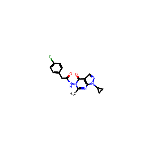 Cc1nc2c(cnn2C2CC2)c(=O)n1NC(=O)Cc1ccc(F)cc1